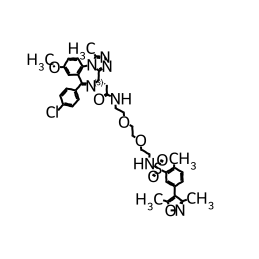 COc1ccc2c(c1)C(c1ccc(Cl)cc1)=N[C@@H](CC(=O)NCCOCCOCCNS(=O)(=O)c1cc(-c3c(C)noc3C)ccc1C)c1nnc(C)n1-2